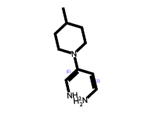 CC1CCN(C(/C=C\N)=C/N)CC1